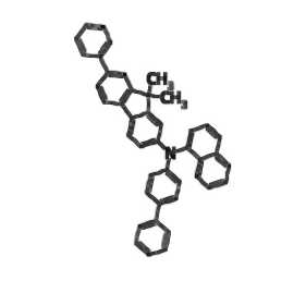 CC1(C)c2cc(-c3ccccc3)ccc2-c2ccc(N(c3ccc(-c4ccccc4)cc3)c3cccc4ccccc34)cc21